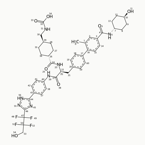 Cc1cc(C(=O)N[C@H]2CC[C@H](O)CC2)ccc1-c1ccc(C[C@H](NC(=O)[C@H]2CC[C@H](CNC(=O)O)CC2)C(=O)Nc2ccc(-c3nc(C(F)(F)C(F)(F)CO)n[nH]3)cc2)cc1